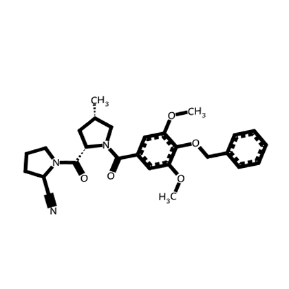 COc1cc(C(=O)N2C[C@@H](C)C[C@H]2C(=O)N2CCCC2C#N)cc(OC)c1OCc1ccccc1